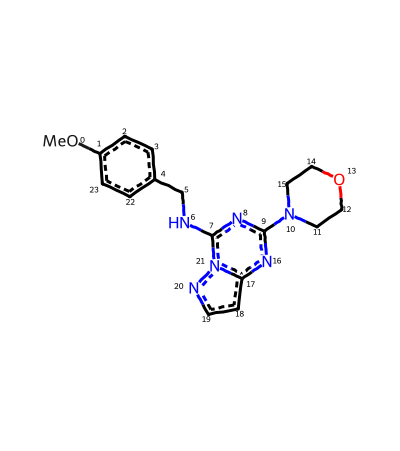 COc1ccc(CNc2nc(N3CCOCC3)nc3ccnn23)cc1